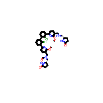 COc1nc(-c2cccc(-c3cccc(-c4ccc(CN(C=O)C[C@@H]5CCC(=O)N5)c(OC)n4)c3Cl)c2Cl)ccc1CNC[C@@H]1CCC(=O)N1